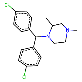 CC1CN(C)CCN1C(c1ccc(Cl)cc1)c1ccc(Cl)cc1